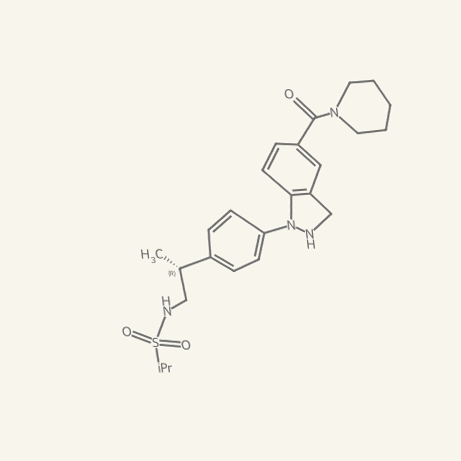 CC(C)S(=O)(=O)NC[C@H](C)c1ccc(N2NCc3cc(C(=O)N4CCCCC4)ccc32)cc1